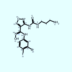 NCCCNC(=O)Nc1nonc1/C(=N/O)Nc1ccc(F)c(Br)c1